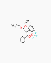 CCOC(CC(C(=O)C1CCCCC1)c1ccccc1OC(F)(F)F)OCC